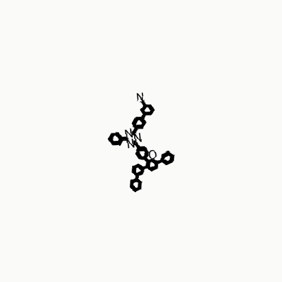 N#Cc1cccc(-c2ccc(-c3nc(-c4ccccc4)nc(-c4ccc5c(c4)oc4c(-c6ccccc6)ccc(-c6cccc(-c7ccccc7)c6)c45)n3)cc2)c1